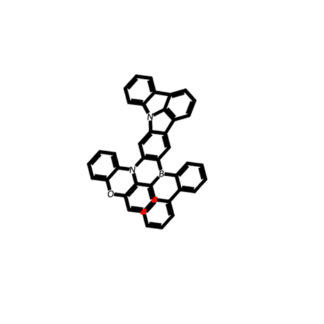 c1ccc(-c2ccccc2B2c3cc4c5cccc6c7ccccc7n(c4cc3N3c4ccccc4Oc4cccc2c43)c65)cc1